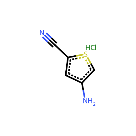 Cl.N#Cc1cc(N)cs1